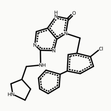 O=c1[nH]c2cnc(NCC3CCNC3)nc2n1Cc1cc(-c2ccccc2)ccc1Cl